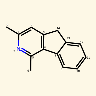 Cc1cc2c(c(C)n1)-c1ccccc1C2